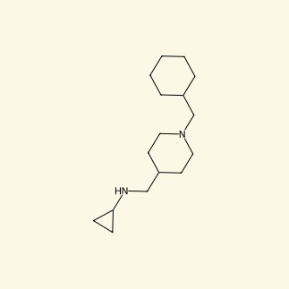 C1CCC(CN2CCC(CNC3CC3)CC2)CC1